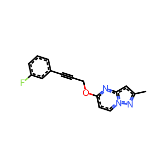 Cc1cc2nc(OCC#Cc3cccc(F)c3)ccn2n1